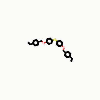 C=Cc1ccc(COc2ccc(Sc3ccc(OCc4ccc(C=C)cc4)cc3)cc2)cc1